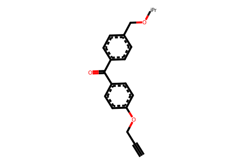 C#CCOc1ccc(C(=O)c2ccc(COC(C)C)cc2)cc1